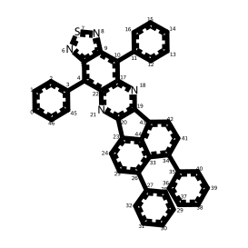 c1ccc(-c2c3nsnc3c(-c3ccccc3)c3nc4c(nc23)-c2ccc(-c3ccccc3)c3c(-c5ccccc5)ccc-4c23)cc1